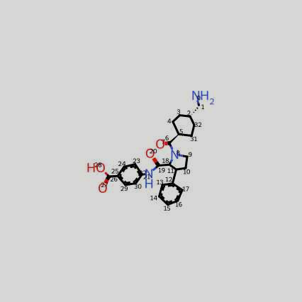 NC[C@H]1CC[C@H](C(=O)N2CCC(c3ccccc3)C2C(=O)Nc2ccc(C(=O)O)cc2)CC1